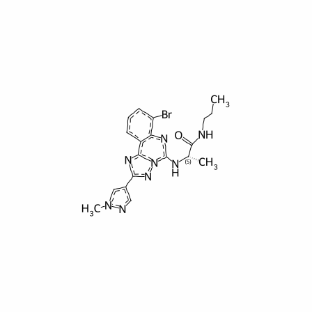 CCCNC(=O)[C@H](C)Nc1nc2c(Br)cccc2c2nc(-c3cnn(C)c3)nn12